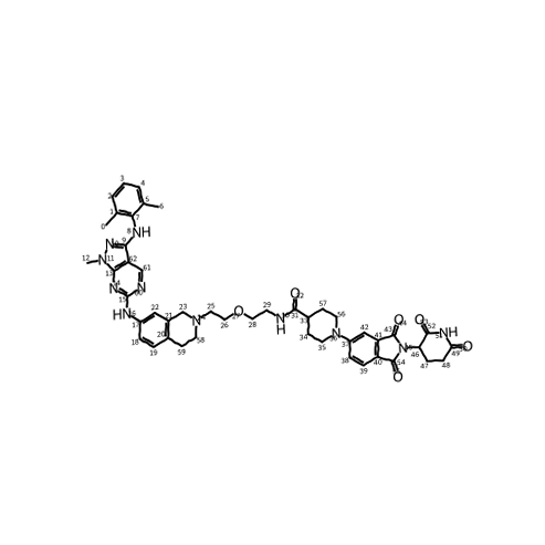 Cc1cccc(C)c1Nc1nn(C)c2nc(Nc3ccc4c(c3)CN(CCOCCNC(=O)C3CCN(c5ccc6c(c5)C(=O)N(C5CCC(=O)NC5=O)C6=O)CC3)CC4)ncc12